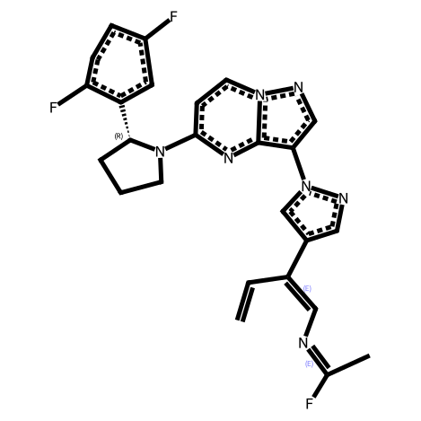 C=C/C(=C\N=C(/C)F)c1cnn(-c2cnn3ccc(N4CCC[C@@H]4c4cc(F)ccc4F)nc23)c1